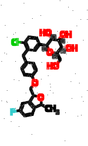 CC1OC(COc2ccc(Cc3cc([C@@H]4O[C@H](CO)[C@@H](O)[C@H](O)[C@H]4O)ccc3Cl)cc2)c2cc(F)ccc21